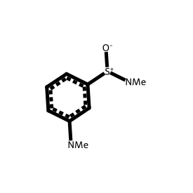 CNc1cccc([S+]([O-])NC)c1